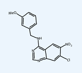 COc1cccc(CNc2ncnc3cc(Cl)c([N+](=O)[O-])cc23)c1